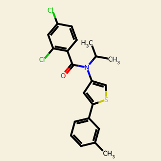 Cc1cccc(-c2cc(N(C(=O)c3ccc(Cl)cc3Cl)C(C)C)cs2)c1